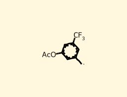 [CH2]c1cc(OC(C)=O)cc(C(F)(F)F)c1